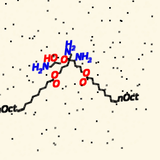 CCCCCCCC/C=C\CCCCCCCC(=O)OCCCC(N)C(CN)(CCCOC(=O)CCCCCCC/C=C\CCCCCCCC)OCC(O)CN